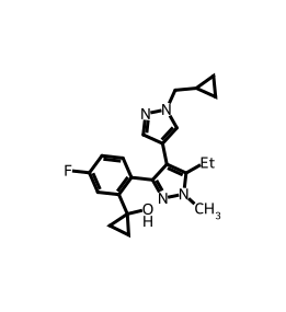 CCc1c(-c2cnn(CC3CC3)c2)c(-c2ccc(F)cc2C2(O)CC2)nn1C